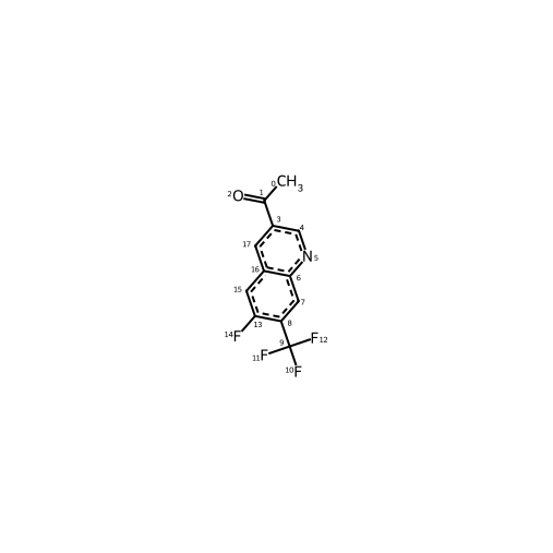 CC(=O)c1cnc2cc(C(F)(F)F)c(F)cc2c1